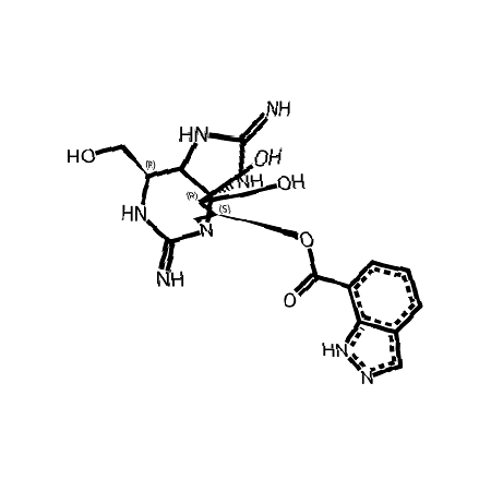 N=C1NC2[C@H](CO)NC(=N)N3C[C@H](OC(=O)c4cccc5cn[nH]c45)C(O)(O)[C@@]23N1